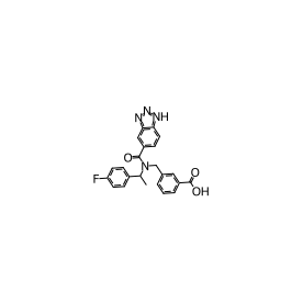 CC(c1ccc(F)cc1)N(Cc1cccc(C(=O)O)c1)C(=O)c1ccc2[nH]nnc2c1